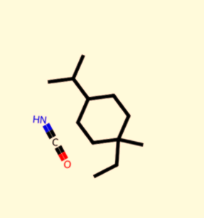 CCC1(C)CCC(C(C)C)CC1.N=C=O